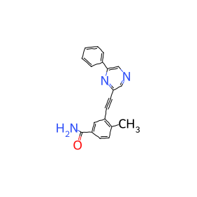 Cc1ccc(C(N)=O)cc1C#Cc1cncc(-c2ccccc2)n1